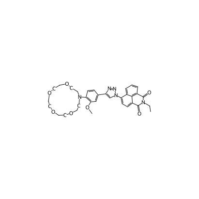 CCN1C(=O)c2cccc3c(-n4cc(-c5ccc(N6CCOCCOCCOCCOCC6)c(OC)c5)nn4)ccc(c23)C1=O